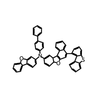 C1=CC2Oc3cc(-c4cccc5sc6ccccc6c45)c4ccccc4c3C2C=C1N(c1ccc(-c2ccccc2)cc1)c1ccc2c(c1)oc1ccccc12